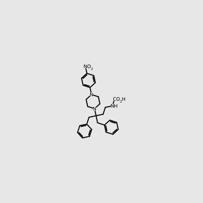 O=C(O)NCCC(Cc1ccccc1)(Cc1ccccc1)N1CCN(c2ccc([N+](=O)[O-])cc2)CC1